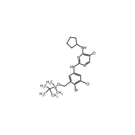 CC(C)(C)[Si](C)(C)OCc1cc(Nc2ncc(Cl)c(NC3CCCC3)n2)cc(Cl)c1Br